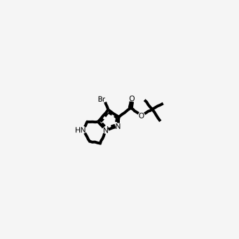 CC(C)(C)OC(=O)c1nn2c(c1Br)CNCC2